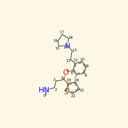 CNCCC(Oc1ccccc1CCN1CCCC1)c1cccs1